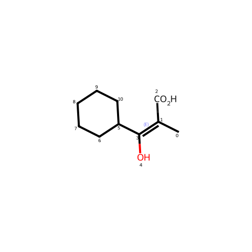 C/C(C(=O)O)=C(\O)C1CCCCC1